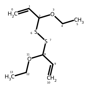 C=CC(OCC)SSC(C=C)OCC